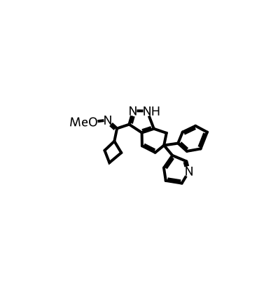 CO/N=C(/c1n[nH]c2c1C=CC(c1ccccc1)(c1cccnc1)C2)C1CCC1